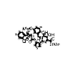 COC(=O)C1=NC(c2cscc2NC(=O)NS(=O)(=O)c2ccccc2Cl)N(Cc2cccc(OC)c2OC)C(O)=C1O